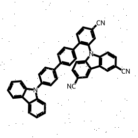 N#Cc1ccc(-c2ccc(-c3ccc(-n4c5ccccc5c5ccccc54)cc3)cc2)c(-n2c3ccc(C#N)cc3c3cc(C#N)ccc32)c1